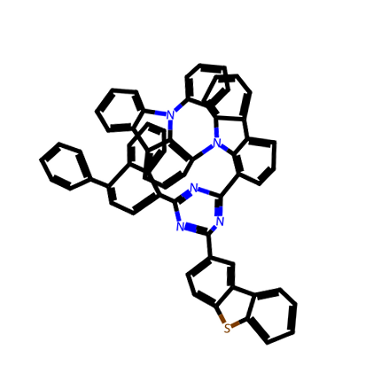 c1ccc(-c2ccc(-c3nc(-c4ccc5sc6ccccc6c5c4)nc(-c4cccc5c6ccccc6n(-c6cccc7c8ccccc8n(-c8ccccc8)c67)c45)n3)c3ccccc23)cc1